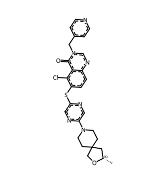 C[C@H]1CC2(CCN(c3cnc(Sc4ccc5ncn(Cc6ccncc6)c(=O)c5c4Cl)cn3)CC2)CO1